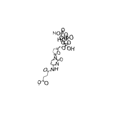 COC(=O)CCC(=O)Nc1ccn([C@H]2CC[C@@H](COP(=O)(O)OP(=O)(O)OP(=O)(O)O)O2)c(=O)n1